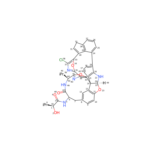 CC(C)[C@H](O)C(=O)NC1Cc2ccc3c(c2)C24c5cccc(c5N[C@H]2O3)-c2cccc3c2C(=CC3)c2oc(nc2Cl)-c2nc(oc24)[C@H](C(C)C)NC1=O